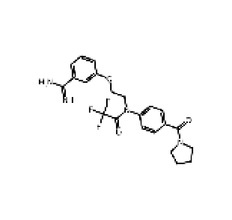 N=C(N)c1cccc(OCCN(C(=O)C(F)(F)F)c2ccc(C(=O)N3CCCC3)cc2)c1